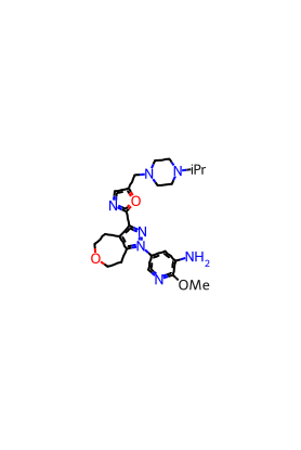 COc1ncc(-n2nc(-c3ncc(CN4CCN(C(C)C)CC4)o3)c3c2CCOCC3)cc1N